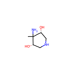 CC1(N)[C@H](O)CNC[C@@H]1O